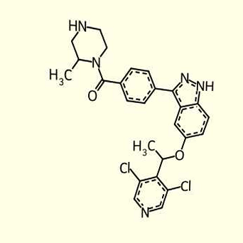 CC(Oc1ccc2[nH]nc(-c3ccc(C(=O)N4CCNCC4C)cc3)c2c1)c1c(Cl)cncc1Cl